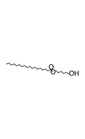 CCCCCCCCCCCCCCCCCC(=O)OCCCCCCO